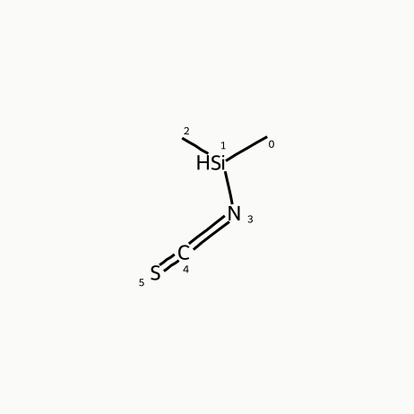 C[SiH](C)N=C=S